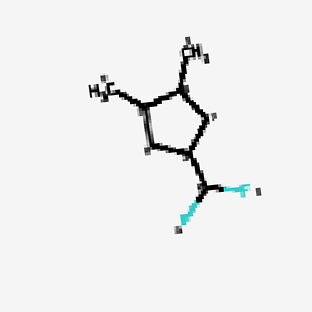 CC1CC(C(F)F)CC1C